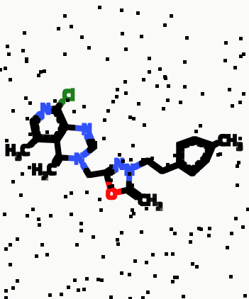 C=C1c2c(C)cnc(Cl)c2N=CN1CC1=NN(CCc2ccc(C)cc2)C(=C)O1